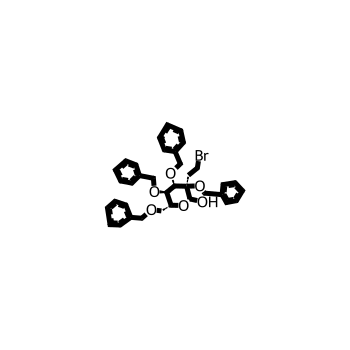 OC1O[C@H](COCc2ccccc2)[C@@H](OCc2ccccc2)[C@H](OCc2ccccc2)[C@@]1(CCBr)OCc1ccccc1